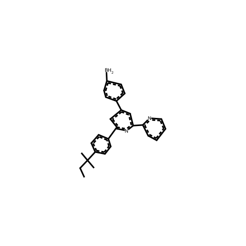 Bc1ccc(-c2cc(-c3ccc(C(C)(C)CC)cc3)nc(-c3ccccn3)c2)cc1